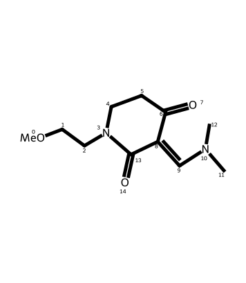 COCCN1CCC(=O)/C(=C\N(C)C)C1=O